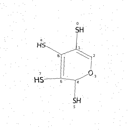 SC1=COC(S)C(S)=C1S